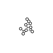 c1ccc(-n2c3ccccc3c3ccc(N(c4cccc5c4-c4cccc6cc7ccccc7c-5c46)c4cccc5c4oc4ccccc45)cc32)cc1